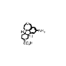 Nc1cc2c3c(c1)[C@@H]1CN(C(=O)O)CC[C@@H]1N3CCOC2